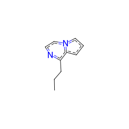 CCCc1nccn2cccc12